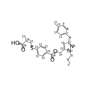 CCCn1nc(Cc2ccc(C)cc2)cc1COC(=O)c1ccc(SCC(C)C(=O)O)cc1